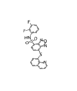 O=S(=O)(Nc1cccc(F)c1F)c1ccc(Sc2cccc3cccnc23)c2nonc12